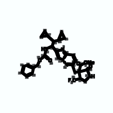 COC(=O)C1(Cc2ccc3nc(C(NC(=O)OCc4ccccc4)C(C4CC4)C4CC4)cn3n2)C(=O)NCC1C(F)(F)F